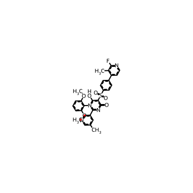 COc1cccc(OC)c1-n1c(-c2cncc(C)c2)nc(=O)c(S(=O)(=O)c2ccc(-c3ccnc(F)c3C)cc2)c1O